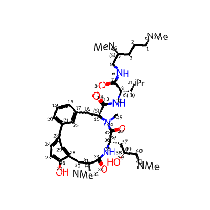 CNCCC[C@@H](CNC(=O)[C@H](CC(C)C)NC(=O)[C@@H]1Cc2cccc(c2)-c2ccc(O)c(c2)C[C@H](NC)C(=O)N[C@@H](C[C@@H](O)CNC)C(=O)N1C)NC